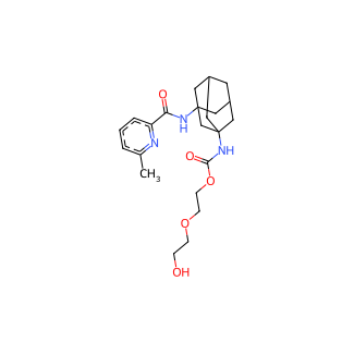 Cc1cccc(C(=O)NC23CC4CC(CC(NC(=O)OCCOCCO)(C4)C2)C3)n1